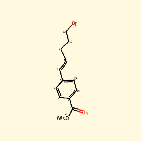 COC(=O)c1ccc(C=CCCCBr)cc1